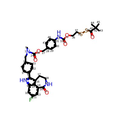 CN(Cc1ccc(-c2[nH]c3cc(F)cc4c3c2CCNC4=O)cc1)C(=O)OCc1ccc(NC(=O)OCCSSC(=O)C(C)(C)C)cc1